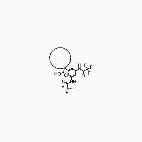 O=C(Nc1cc(NC(=O)C(F)(F)F)cc(C2(C(O)Cl)CCCCCCCCCCCCCC2)c1)C(F)(F)F